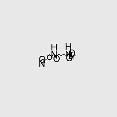 CC(C)S(=O)(=O)NCCCCC(=O)Nc1ccc(-c2cnco2)cc1